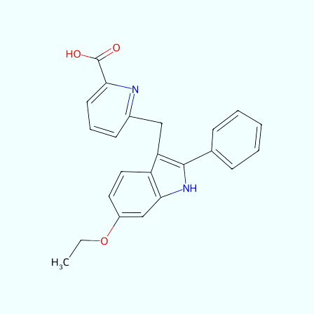 CCOc1ccc2c(Cc3cccc(C(=O)O)n3)c(-c3ccccc3)[nH]c2c1